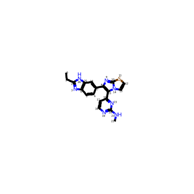 CCc1nc2ccc(-c3nc4sccn4c3-c3ccnc(NC)n3)cc2[nH]1